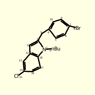 CCCCn1c(Cc2ccc(Br)cc2)cc2cc(Cl)ccc21